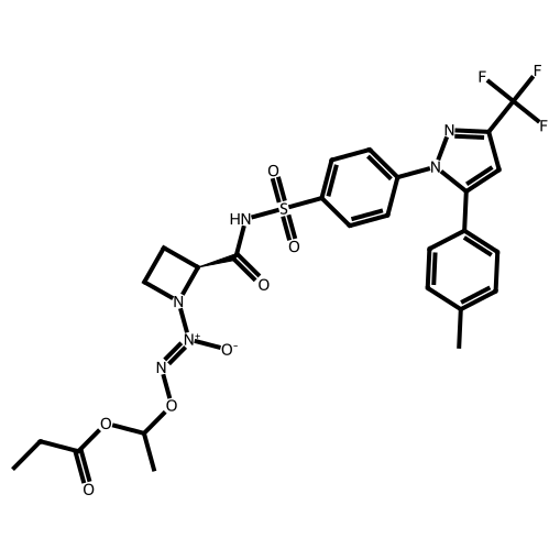 CCC(=O)OC(C)ON=[N+]([O-])N1CC[C@H]1C(=O)NS(=O)(=O)c1ccc(-n2nc(C(F)(F)F)cc2-c2ccc(C)cc2)cc1